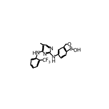 Cc1cnc(Nc2ccc3c(c2)COB3O)nc1Nc1ccccc1C(F)(F)F